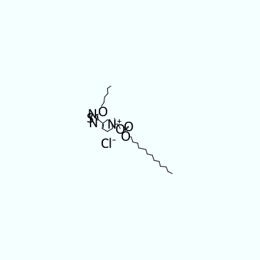 CCCCCCCCCCCCCOC(=O)OC[N+]1(C)CCC=C(c2nsnc2OCCCCCC)C1.[Cl-]